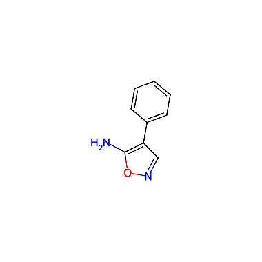 Nc1oncc1-c1ccccc1